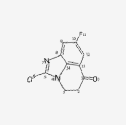 O=C1CCn2c(Cl)nc3cc(F)cc1c32